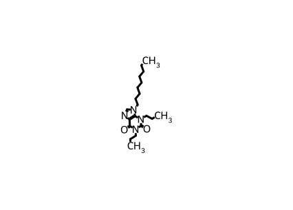 CCCCCCCCCn1cnc2c(=O)n(CCC)c(=O)n(CCC)c21